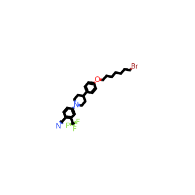 N#Cc1ccc(N2CCC(c3ccc(OCCCCCCCBr)cc3)CC2)cc1C(F)(F)F